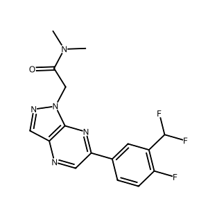 CN(C)C(=O)Cn1ncc2ncc(-c3ccc(F)c(C(F)F)c3)nc21